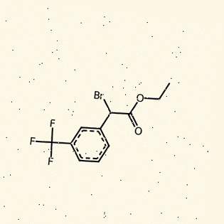 CCOC(=O)C(Br)c1cccc(C(F)(F)F)c1